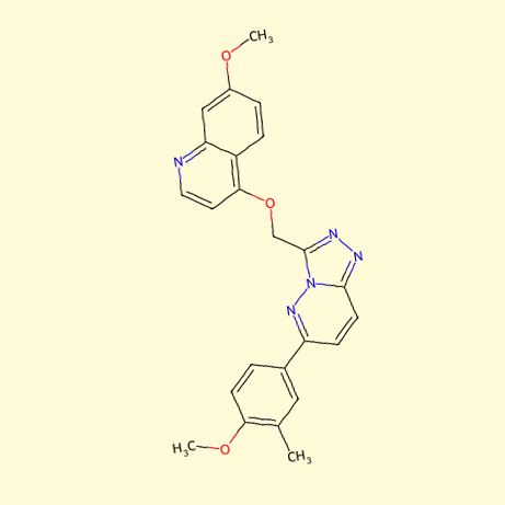 COc1ccc2c(OCc3nnc4ccc(-c5ccc(OC)c(C)c5)nn34)ccnc2c1